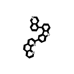 c1cc(-c2cccc3oc4ccc(-c5ccc6ccc7cccnc7c6n5)cc4c23)c2ccncc2c1